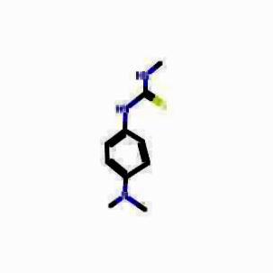 CNC(=S)Nc1ccc(N(C)C)cc1